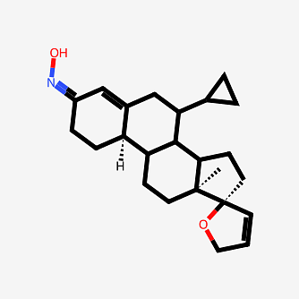 C[C@]12CCC3C(C(C4CC4)CC4=CC(=NO)CC[C@@H]43)C1CC[C@@]21C=CCO1